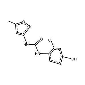 Cc1cc(NC(=O)Nc2ccc(O)cc2Cl)no1